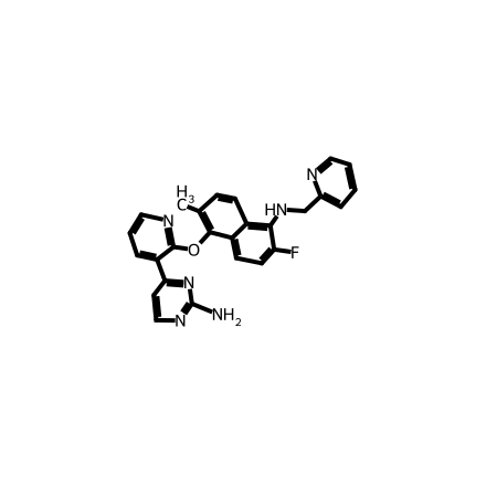 Cc1ccc2c(NCc3ccccn3)c(F)ccc2c1Oc1ncccc1-c1ccnc(N)n1